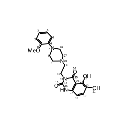 COc1ccccc1N1CCN(CCn2c(=O)[nH]c3ccc(O)c(O)c3c2=O)CC1